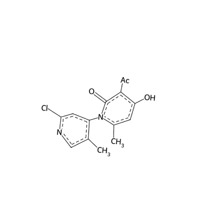 CC(=O)c1c(O)cc(C)n(-c2cc(Cl)ncc2C)c1=O